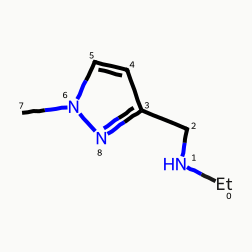 CCNCc1ccn(C)n1